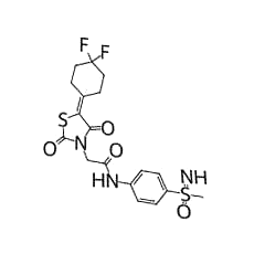 CS(=N)(=O)c1ccc(NC(=O)CN2C(=O)SC(=C3CCC(F)(F)CC3)C2=O)cc1